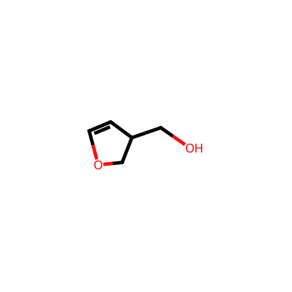 OCC1C=COC1